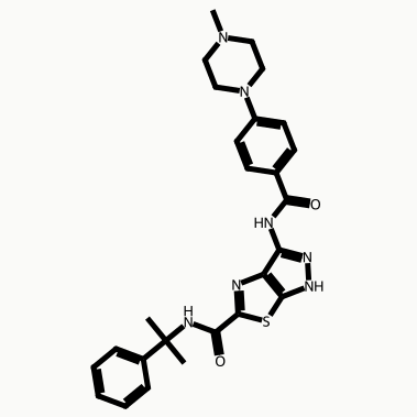 CN1CCN(c2ccc(C(=O)Nc3n[nH]c4sc(C(=O)NC(C)(C)c5ccccc5)nc34)cc2)CC1